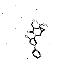 CCC(CSC)C(=O)N(CC1CC1)c1cn(-c2cccnc2)nc1Cl